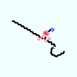 CCCCC/C=C\C/C=C\C/C=C\C/C=C\CCCC(=O)O[C@H](COC(=O)CCCCCCCCCCCCCCCCCC)COP(=O)([O-])OCC[N+](C)(C)C